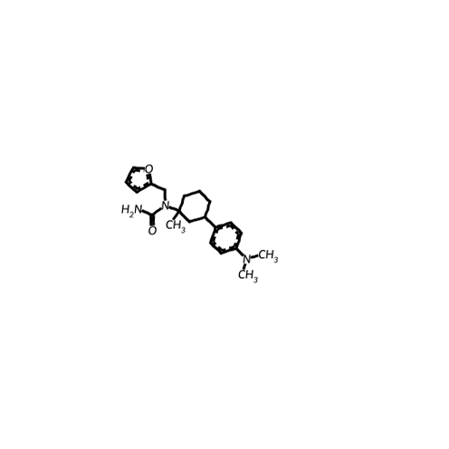 CN(C)c1ccc(C2CCCC(C)(N(Cc3ccco3)C(N)=O)C2)cc1